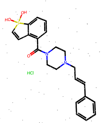 Cl.O=C(c1cccc2c1C=CS2(O)O)N1CCN(CC=Cc2ccccc2)CC1